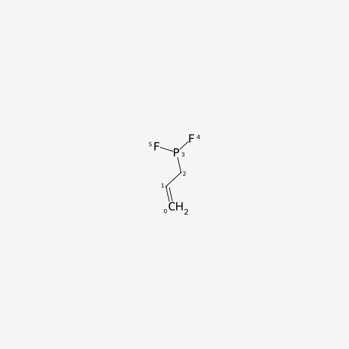 C=CCP(F)F